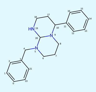 c1ccc(CN2CCCN3C(c4ccccc4)CCNC23)cc1